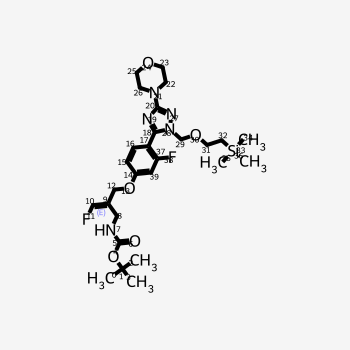 CC(C)(C)OC(=O)NC/C(=C\F)COc1ccc(-c2nc(N3CCOCC3)nn2COCC[Si](C)(C)C)c(F)c1